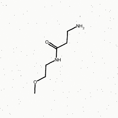 COCCNC(=O)CCN